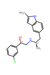 C[C@H](Cc1ccc2[nH]c(C(=O)O)cc2c1)NC[C@H](O)c1cccc(Cl)c1